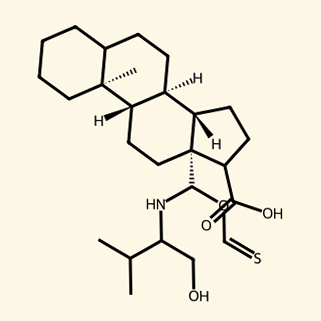 CC(C)C(CO)NC(OC=S)[C@]12CC[C@H]3[C@@H](CCC4CCCC[C@@]43C)[C@@H]1CCC2C(=O)O